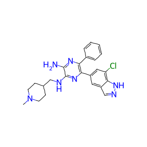 CN1CCC(CNc2nc(-c3cc(Cl)c4[nH]ncc4c3)c(-c3ccccc3)nc2N)CC1